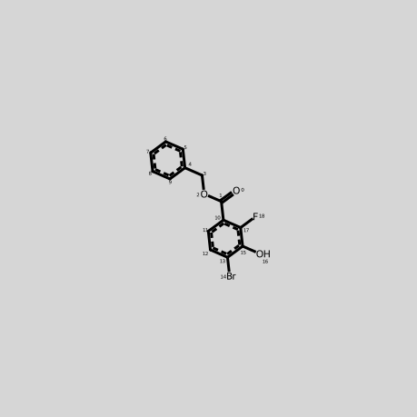 O=C(OCc1ccccc1)c1ccc(Br)c(O)c1F